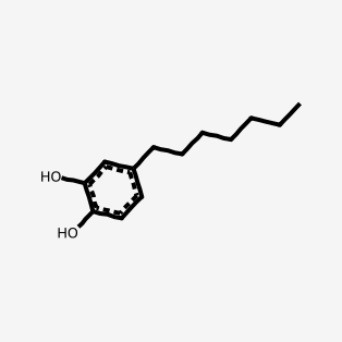 CCCCCCCc1ccc(O)c(O)c1